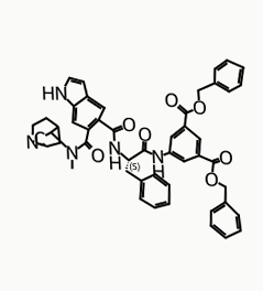 CN(C(=O)c1cc2[nH]ccc2cc1C(=O)N[C@@H](Cc1ccccc1)C(=O)Nc1cc(C(=O)OCc2ccccc2)cc(C(=O)OCc2ccccc2)c1)C1CN2CCC1CC2